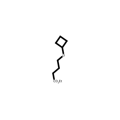 CCOC(=O)CCCOC1CCC1